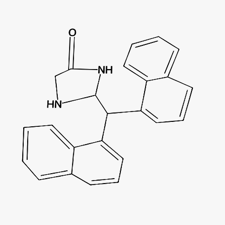 O=C1CNC(C(c2cccc3ccccc23)c2cccc3ccccc23)N1